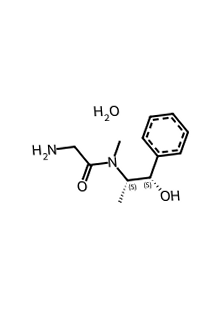 C[C@@H]([C@@H](O)c1ccccc1)N(C)C(=O)CN.O